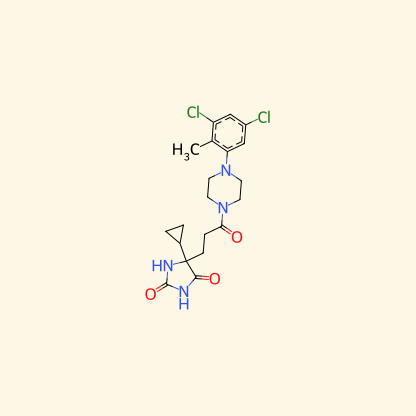 Cc1c(Cl)cc(Cl)cc1N1CCN(C(=O)CCC2(C3CC3)NC(=O)NC2=O)CC1